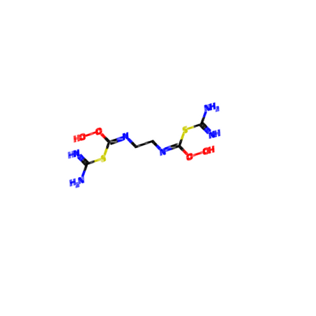 N=C(N)SC(=NCCN=C(OO)SC(=N)N)OO